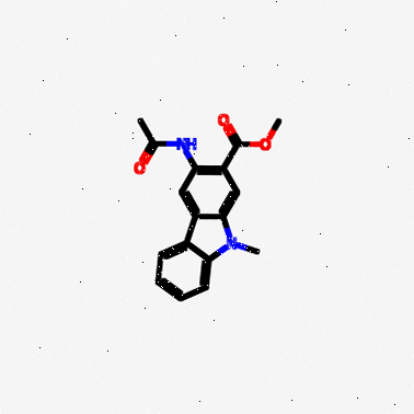 COC(=O)c1cc2c(cc1NC(C)=O)c1ccccc1n2C